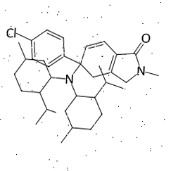 CC1CCC(C(C)C)C(N(C2CC(C)CCC2C(C)C)C2(c3ccc(Cl)cc3)C=CC3=C(CN(C)C3=O)C2)C1